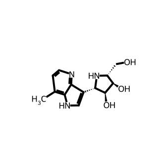 Cc1ccnc2c([C@@H]3N[C@H](CO)[C@@H](O)[C@H]3O)c[nH]c12